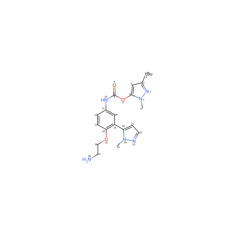 Cn1nc(C(C)(C)C)cc1OC(=O)Nc1ccc(OCCN)c(-c2ccnn2C)c1